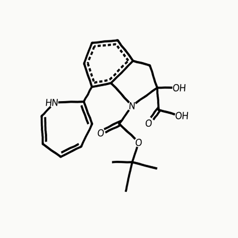 CC(C)(C)OC(=O)N1c2c(cccc2C2=CC=CC=CN2)CC1(O)C(=O)O